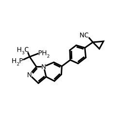 CC(P)(P)c1ncc2ccc(-c3ccc(C4(C#N)CC4)cc3)cn12